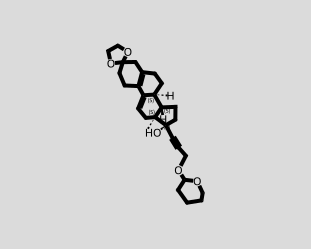 C[C@]12CC=C3C4=C(CC[C@H]3[C@@H]1CC[C@@]2(O)C#CCOC1CCCCO1)CC1(CC4)OCCO1